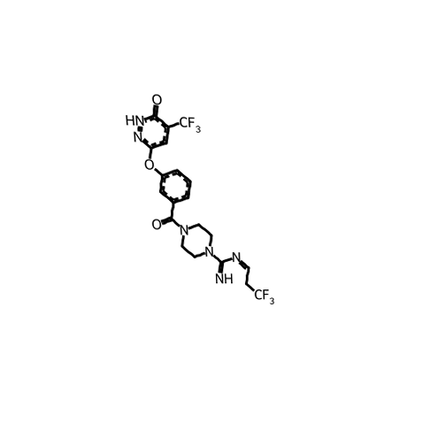 N=C(/N=C\CC(F)(F)F)N1CCN(C(=O)c2cccc(Oc3cc(C(F)(F)F)c(=O)[nH]n3)c2)CC1